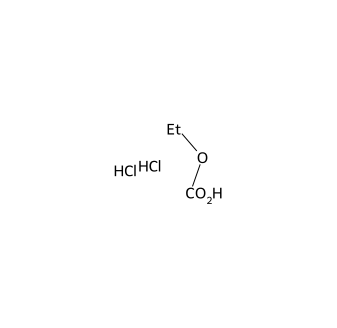 CCOC(=O)O.Cl.Cl